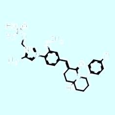 COc1cc(/C=C2\CC[C@H]3CCC[C@@H](c4ccc(Cl)cc4)N3C2=O)ccc1-n1cc(C)[n+](COP(=O)(O)O)c1